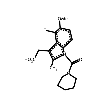 COc1ccc2c(c1F)c(CC(=O)O)c(C)n2C(=O)N1CCCCC1